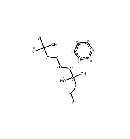 CCO[Si](O)(O)OOCCC(Cl)(Cl)Cl.c1cnnnc1